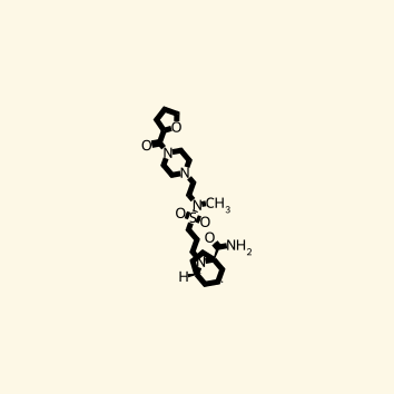 CN(CCN1CCN(C(=O)C2CCCO2)CC1)S(=O)(=O)CCCN1[C@@H]2C[CH]C[C@@]1(C(N)=O)CC2